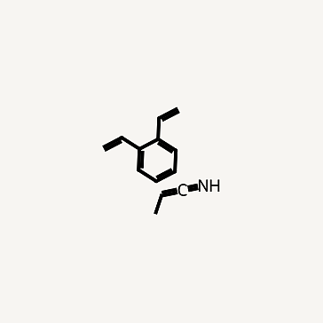 C=Cc1ccccc1C=C.CC=C=N